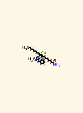 CCCCCCCCCCCCCCCCCC(N)=O.CC[N+](CC)(CC)Cc1ccccc1.[Cl-]